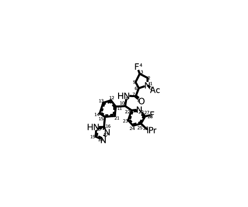 CC(=O)N1CC(F)CC1C(=O)NC(c1cccc(-c2nnc[nH]2)c1)c1ccc(C(C)C)c(F)n1